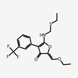 CCO/C=C1\OC(NCSCC)=C(c2cccc(C(F)(F)F)c2)C1=O